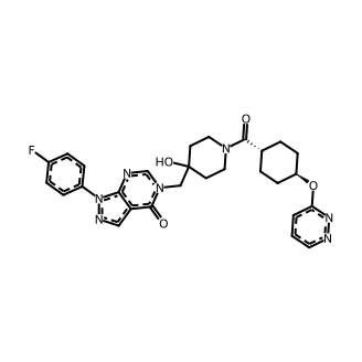 O=c1c2cnn(-c3ccc(F)cc3)c2ncn1CC1(O)CCN(C(=O)[C@H]2CC[C@H](Oc3cccnn3)CC2)CC1